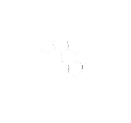 C=C(C(C)c1ccc(Cl)cc1Cl)C(O)c1cnccn1